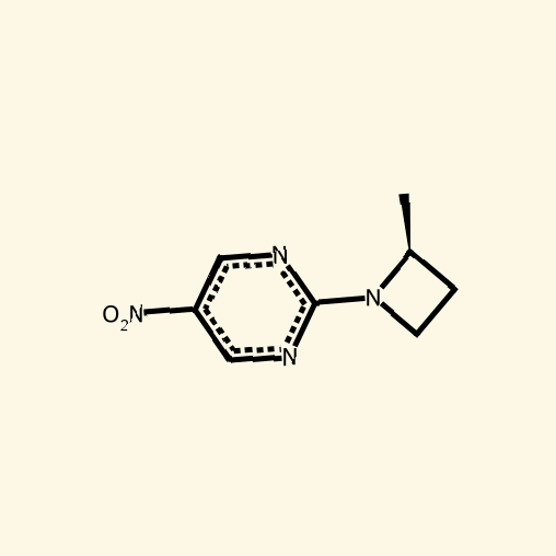 C[C@H]1CCN1c1ncc([N+](=O)[O-])cn1